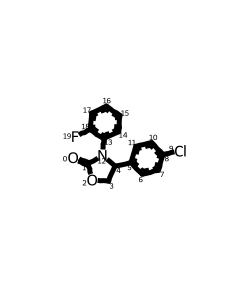 O=C1OCC(c2ccc(Cl)cc2)N1c1ccccc1F